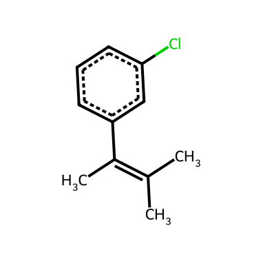 CC(C)=C(C)c1cccc(Cl)c1